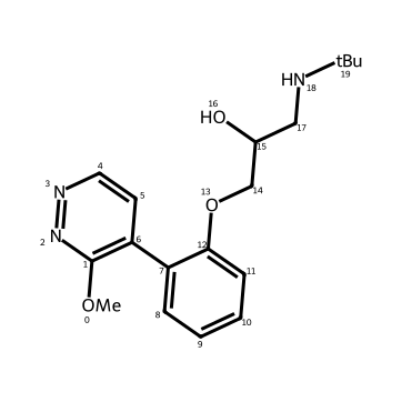 COc1nnccc1-c1ccccc1OCC(O)CNC(C)(C)C